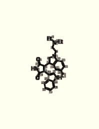 CCN(CC)CCn1cc(C2=C(c3c[nH]c4ccccc34)C(=O)NC2=O)c2cc(Cl)ccc21